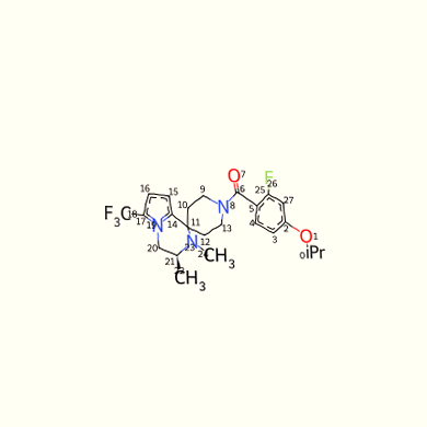 CC(C)Oc1ccc(C(=O)N2CCC3(CC2)c2ccc(C(F)(F)F)n2C[C@H](C)N3C)c(F)c1